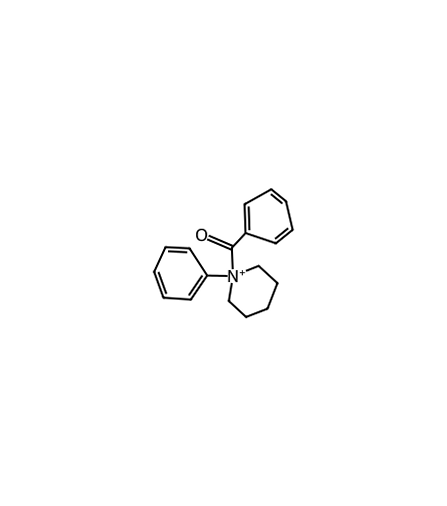 O=C(c1ccccc1)[N+]1(c2ccccc2)CCCCC1